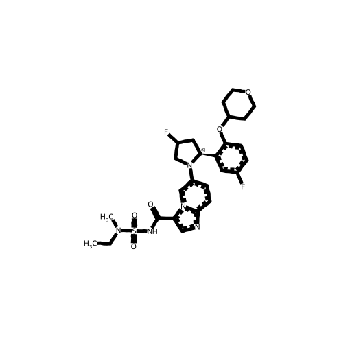 CCN(C)S(=O)(=O)NC(=O)c1cnc2ccc(N3CC(F)C[C@H]3c3cc(F)ccc3OC3CCOCC3)cn12